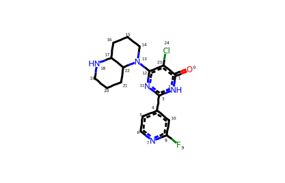 O=c1[nH]c(-c2ccnc(F)c2)nc(N2CCCC3NCCCC32)c1Cl